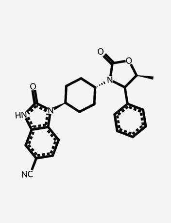 C[C@@H]1OC(=O)N([C@H]2CC[C@H](n3c(=O)[nH]c4cc(C#N)ccc43)CC2)C1c1ccccc1